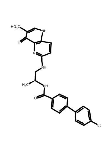 CCc1ccc(-c2ccc(C(=O)N[C@@H](C)CNc3ccc4[nH]cc(C(=O)O)c(=O)c4n3)cc2)cc1